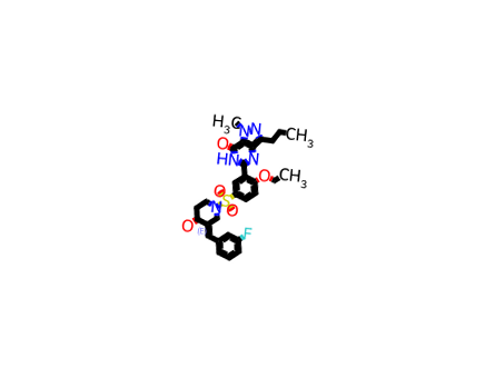 CCCc1nn(C)c2c(=O)[nH]c(-c3cc(S(=O)(=O)N4CCC(=O)/C(=C/c5cccc(F)c5)C4)ccc3OCC)nc12